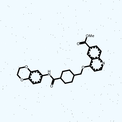 COC(=O)c1ccc2nccc(OCC3CCC(C(=O)Nc4ccc5c(c4)OCCO5)CC3)c2c1